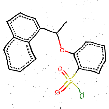 CC(Oc1ccccc1S(=O)(=O)Cl)c1cccc2ccccc12